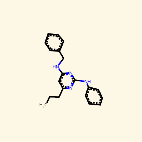 CCCc1cc(NCc2ccccc2)nc(Nc2ccccc2)n1